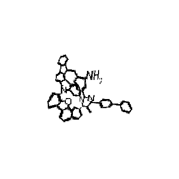 C=C1C(c2ccc(-c3ccccc3)cc2)=NC(c2ccc(/C=C3/c4ccccc4-c4ccc5c(c43)c3ccccc3n5-c3cccc4c3oc3ccccc34)c(N)c2)=N[C@H]1c1ccccc1